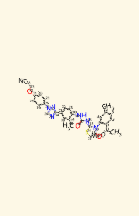 COC(C)c1ccc(C)cc1N1C(=O)CS/C1=N\C(=O)Nc1ccc(-c2ncn(-c3ccc(OCC#N)cc3)n2)cc1C